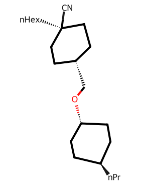 CCCCCC[C@]1(C#N)CC[C@H](CO[C@H]2CC[C@H](CCC)CC2)CC1